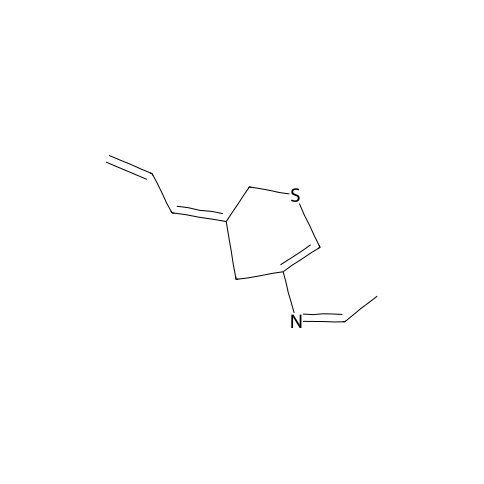 C=C/C=C1\CSC=C(/N=C\C)C1